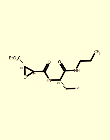 CCOC(=O)[C@H]1O[C@@H]1C(=O)N[C@@H](CC(C)C)C(=O)NCCC(F)(F)F